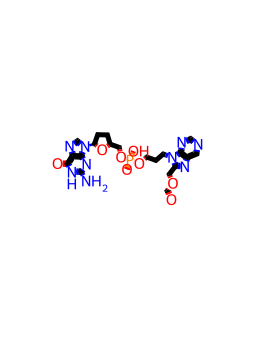 Nc1nc2c(ncn2[C@H]2CCC(COP(=O)(O)OCCCn3c(COC=O)nc4cncnc43)O2)c(=O)[nH]1